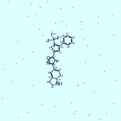 FC(F)(F)c1sc(-c2nc(C3=CCC4NCCC4=C3)no2)cc1-c1ccccc1